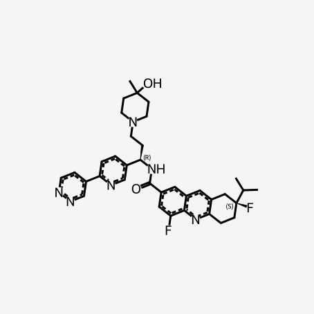 CC(C)[C@]1(F)CCc2nc3c(F)cc(C(=O)N[C@H](CCN4CCC(C)(O)CC4)c4ccc(-c5ccnnc5)nc4)cc3cc2C1